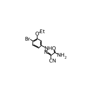 CCOc1cc(NN=C(C#N)C(N)=O)ccc1Br